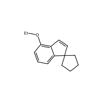 CCOc1cccc2c1C=CC21CCCC1